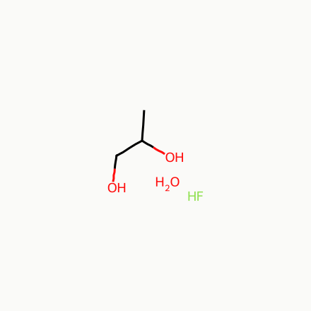 CC(O)CO.F.O